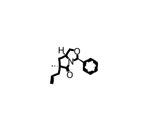 C=CC[C@@]1(C)C[C@H]2CO[C@@H](c3ccccc3)N2C1=O